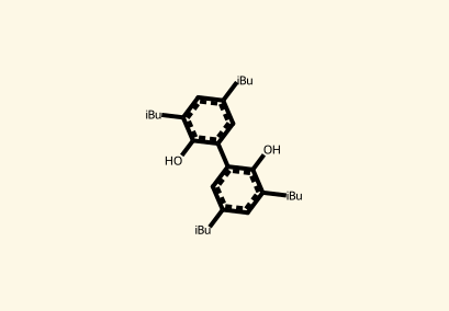 CCC(C)c1cc(-c2cc(C(C)CC)cc(C(C)CC)c2O)c(O)c(C(C)CC)c1